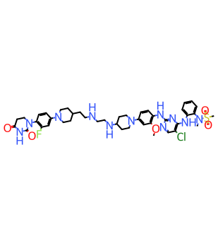 COc1cc(N2CCC(NCCNCCC3CCN(c4ccc(N5CCC(=O)NC5=O)c(F)c4)CC3)CC2)ccc1Nc1ncc(Cl)c(Nc2ccccc2N(C)S(C)(=O)=O)n1